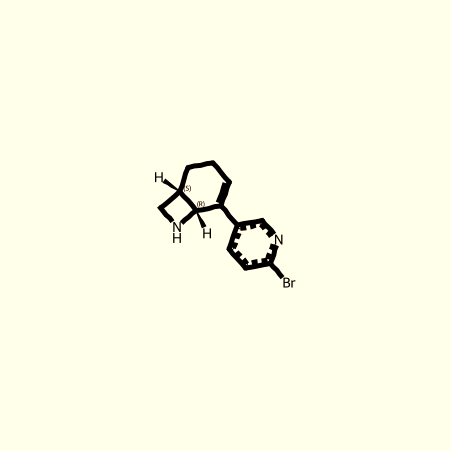 Brc1ccc(C2=CCC[C@H]3CN[C@@H]23)cn1